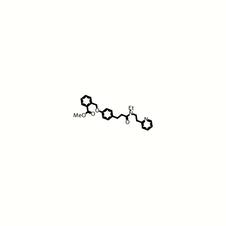 CCN(CCc1ccccn1)C(=O)CCc1ccc(OCc2ccccc2C(=O)OC)cc1